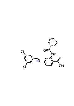 O=C(Nc1cc(/C=C/c2cc(Cl)cc(Cl)c2)ccc1C(=O)O)c1ccccc1